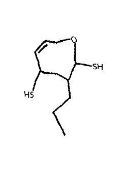 CCCC1C(S)C=COC1S